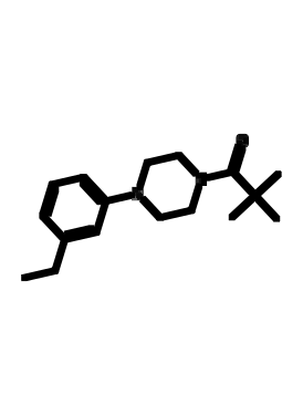 CCc1cccc(N2CCN(C(=O)C(C)(C)C)CC2)c1